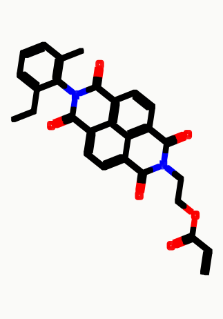 C=CC(=O)OCCN1C(=O)c2ccc3c4c(ccc(c24)C1=O)C(=O)N(c1c(C)cccc1CC)C3=O